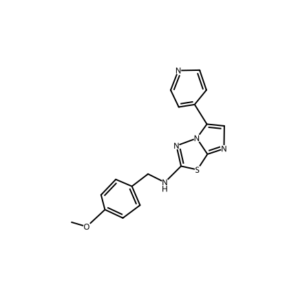 COc1ccc(CNc2nn3c(-c4ccncc4)cnc3s2)cc1